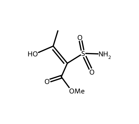 COC(=O)/C(=C(/C)O)S(N)(=O)=O